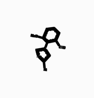 CCc1cn(-c2c(C=O)cccc2OC)cn1